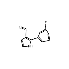 O=Cc1cc[nH]c1-c1cccc(F)c1